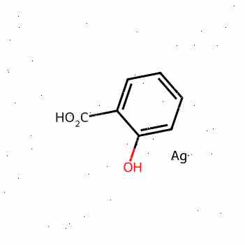 O=C(O)c1ccccc1O.[Ag]